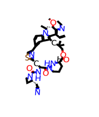 C=C/C(=C(\N=C/C)[C@H](C)OC)c1c2c3cc(ccc3n1CC)-c1csc(n1)C[C@H](NC(=O)N1CC[C@H]1CC#N)C(=O)N1CCC[C@H](N1)C(=O)OCC(C)(C)C2